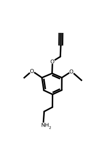 C#CCOc1c(OC)cc(CCN)cc1OC